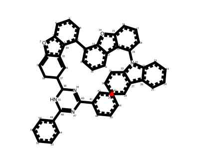 C1=c2oc3cccc(-c4cccc5c4oc4cccc(-n6c7ccccc7c7ccccc76)c45)c3c2=CC(C2N=C(c3ccccc3)N=C(c3ccccc3)N2)C1